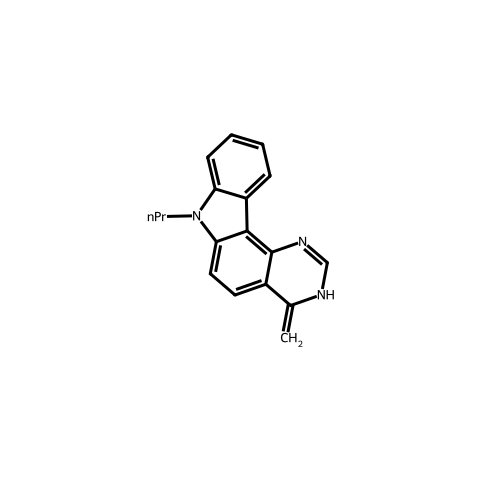 C=C1NC=Nc2c1ccc1c2c2ccccc2n1CCC